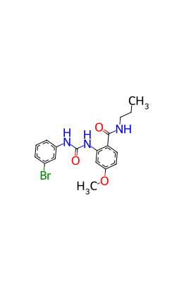 CCCNC(=O)c1ccc(OC)cc1NC(=O)Nc1cccc(Br)c1